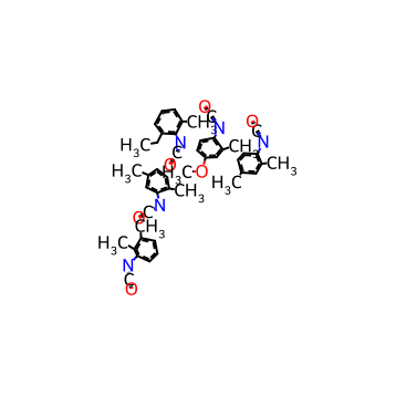 CCc1cccc(C)c1N=C=O.COc1ccc(N=C=O)c(C)c1.Cc1ccc(C)c(N=C=O)c1.Cc1ccc(N=C=O)c(C)c1.Cc1cccc(N=C=O)c1C